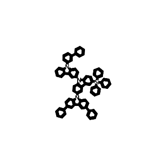 c1ccc(-c2cccc(-n3c4ccccc4c4cc(-n5c6ccc(-n7c8ccc(-c9ccccc9)cc8c8cc(-c9ccccc9)ccc87)cc6c6cc([Si](c7ccccc7)(c7ccccc7)c7ccccc7)ccc65)ccc43)c2)cc1